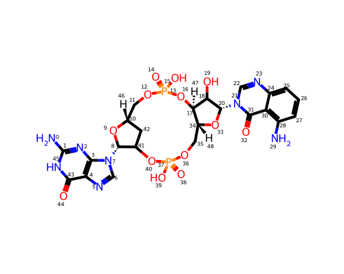 Nc1nc2c(ncn2[C@@H]2O[C@@H]3COP(=O)(O)O[C@H]4C(O)[C@H](n5cnc6cccc(N)c6c5=O)O[C@@H]4COP(=O)(O)OC2C3)c(=O)[nH]1